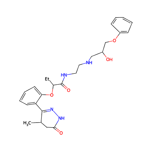 CCC(Oc1ccccc1C1=NNC(=O)CC1C)C(=O)NCCNCC(O)COc1ccccc1